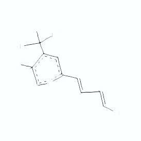 CC=CC=Cc1ccc(Cl)c(C(F)(F)F)c1